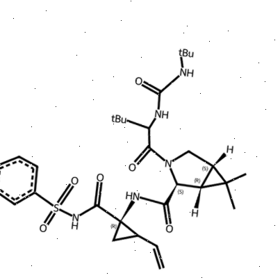 C=CC1C[C@]1(NC(=O)[C@@H]1[C@@H]2[C@H](CN1C(=O)C(NC(=O)NC(C)(C)C)C(C)(C)C)C2(C)C)C(=O)NS(=O)(=O)c1ccccc1